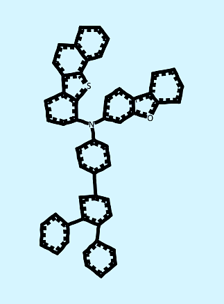 c1ccc(-c2ccc(-c3ccc(N(c4ccc5c(c4)oc4ccccc45)c4cccc5c4sc4c6ccccc6ccc54)cc3)cc2-c2ccccc2)cc1